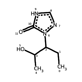 CCC(C(C)O)n1nc[nH]c1=O